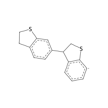 [c]1cccc2c1SCC2c1ccc2c(c1)SCC2